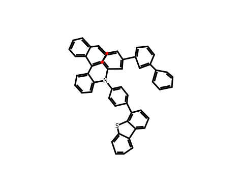 c1ccc(-c2cccc(-c3cccc(N(c4ccc(-c5cccc6c5sc5ccccc56)cc4)c4ccccc4-c4cccc5ccccc45)c3)c2)cc1